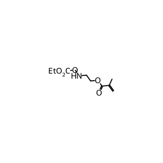 C=C(C)C(=O)OCCNOC(=O)OCC